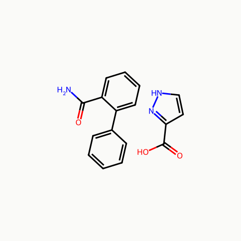 NC(=O)c1ccccc1-c1ccccc1.O=C(O)c1cc[nH]n1